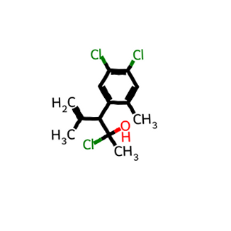 C=C(C)C(c1cc(Cl)c(Cl)cc1C)C(C)(O)Cl